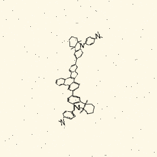 CN(C)c1ccc(N2c3ccc(-c4ccc5c(c4)Cc4c-5c5ccccc5c5cc(-c6ccc7c(c6)C6(C)CCCCC6(C)N7c6ccc(N(C)C)cc6)ccc45)cc3C3(C)CCCCC23C)cc1